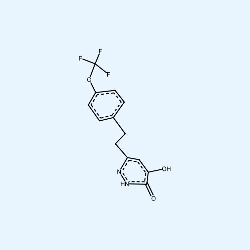 O=c1[nH]nc(CCc2ccc(OC(F)(F)F)cc2)cc1O